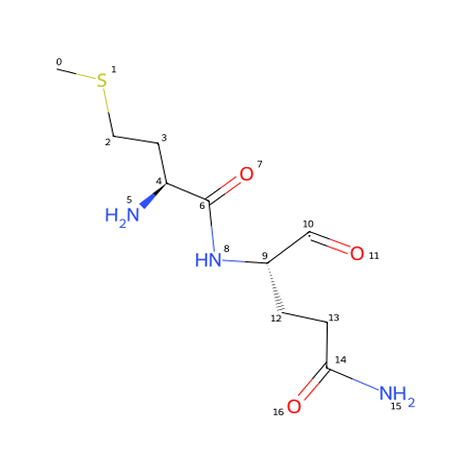 CSCC[C@H](N)C(=O)N[C@H]([C]=O)CCC(N)=O